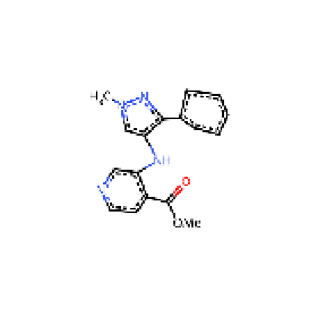 COC(=O)c1ccncc1Nc1cn(C)nc1-c1ccccc1